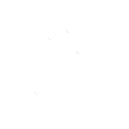 N#Cc1ccc(-c2nc3ccccc3n3ccnc23)cc1